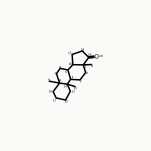 CC12CCC3C(CCC4(C)CCCCC34C)C1CCC2=O